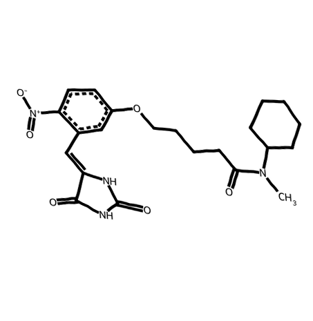 CN(C(=O)CCCCOc1ccc([N+](=O)[O-])c(C=C2NC(=O)NC2=O)c1)C1CCCCC1